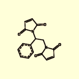 O=C1C=CC(=O)N1CC(c1ccccc1)N1C(=O)C=CC1=O